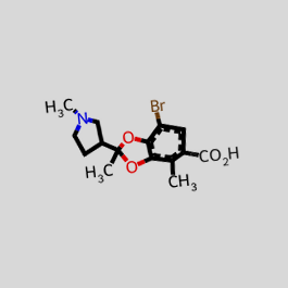 Cc1c(C(=O)O)cc(Br)c2c1OC(C)(C1CCN(C)C1)O2